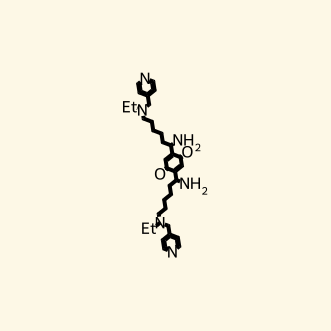 CCN(CCCCCC(N)C1=CC(=O)C(C(N)CCCCCN(CC)Cc2ccncc2)=CC1=O)Cc1ccncc1